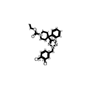 CCOC(=O)N1CCC(c2ccccc2)(c2nnn(Cc3ccc(Cl)c(Cl)c3)n2)CC1